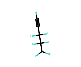 FC#CC(F)(F)C(F)(F)C(F)F